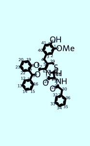 COc1cc(CC2=C(C(=O)OC(c3ccccc3)c3ccccc3)N3C(=O)[C@@H](NC(=O)Cc4ccccc4)[C@H]3SC2)ccc1O